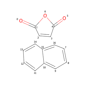 O=C1C=CC(=O)O1.c1ccc2ccccc2c1